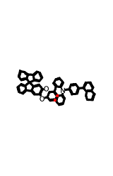 C1=CC2Oc3cc4c(cc3OC2C(c2ccccc2N(c2ccccc2)c2ccc(-c3cccc5c3CCC=C5)cc2)=C1)C1(c2ccccc2-c2ccccc21)c1ccccc1-4